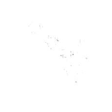 CCOC(=O)c1c(-c2ncn(Cc3ccccc3)n2)nc(-c2ccc(OC(F)(F)F)cc2)n1C1CC1